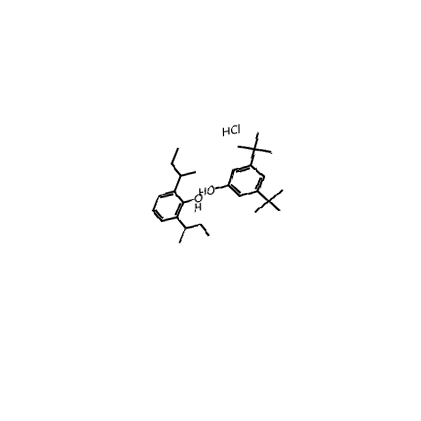 CC(C)(C)c1cc(O)cc(C(C)(C)C)c1.CCC(C)c1cccc(C(C)CC)c1O.Cl